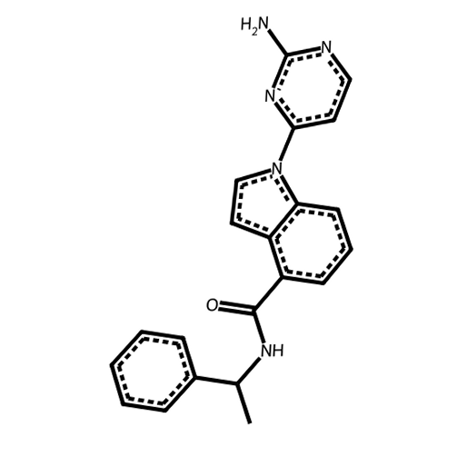 CC(NC(=O)c1cccc2c1ccn2-c1ccnc(N)n1)c1ccccc1